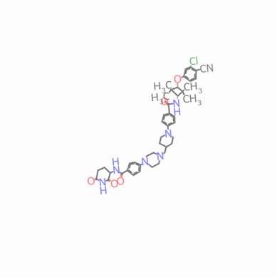 CC1(C)[C@H](NC(=O)c2ccc(N3CCC(CN4CCN(c5ccc(C(=O)NC6CCC(=O)NC6=O)cc5)CC4)CC3)cc2)C(C)(C)[C@H]1Oc1ccc(C#N)c(Cl)c1